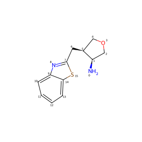 N[C@@H]1COC[C@@H]1Cc1nc2ccccc2s1